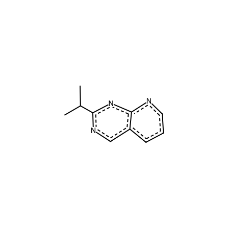 CC(C)c1ncc2cccnc2n1